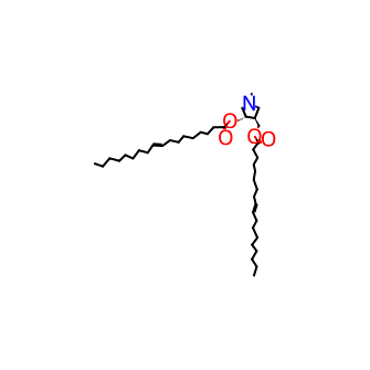 CCCCCCCCC=CCCCCCCCC(=O)OC[C@@H]1CN(C)C[C@H]1COC(=O)CCCCCCCC=CCCCCCCCC